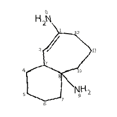 NC1=CC2CCCCC2(N)CCC1